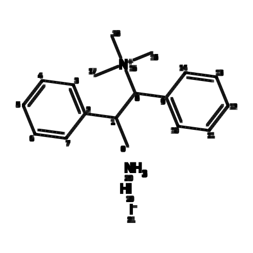 CC(c1ccccc1)C(c1ccccc1)[N+](C)(C)C.I.N.[I-]